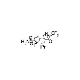 CC(C)CCc1c(-c2ccc(S(N)(=O)=O)c(F)c2)cnn(CC(F)(F)F)c1=O